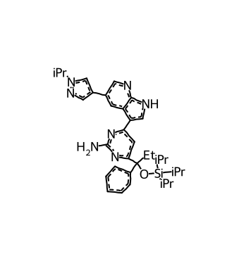 CCC(O[Si](C(C)C)(C(C)C)C(C)C)(c1ccccc1)c1cc(-c2c[nH]c3ncc(-c4cnn(C(C)C)c4)cc23)nc(N)n1